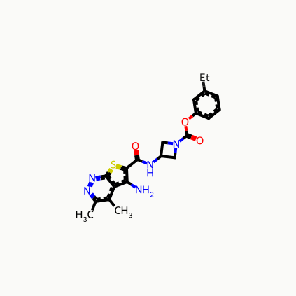 CCc1cccc(OC(=O)N2CC(NC(=O)c3sc4nnc(C)c(C)c4c3N)C2)c1